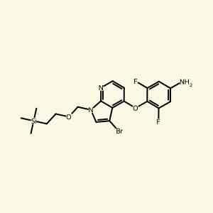 C[Si](C)(C)CCOCn1cc(Br)c2c(Oc3c(F)cc(N)cc3F)ccnc21